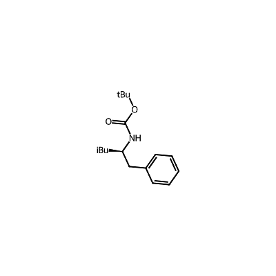 CCC(C)[C@H](Cc1ccccc1)NC(=O)OC(C)(C)C